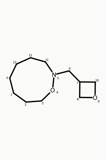 C1CCCON(CC2COC2)CCC1